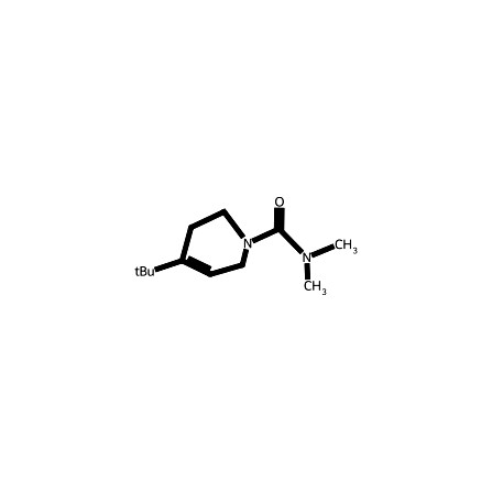 CN(C)C(=O)N1CC=C(C(C)(C)C)CC1